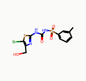 Cc1cccc(S(=O)(=O)NC(=O)Nc2nc(CO)c(Br)s2)c1